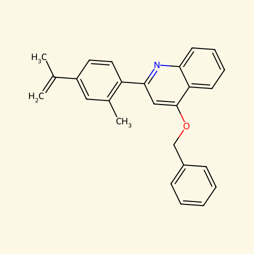 C=C(C)c1ccc(-c2cc(OCc3ccccc3)c3ccccc3n2)c(C)c1